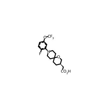 O=C(O)C[C@H]1CCC2(CCN(c3cc(OC(F)(F)F)ccc3F)CC2)OC1